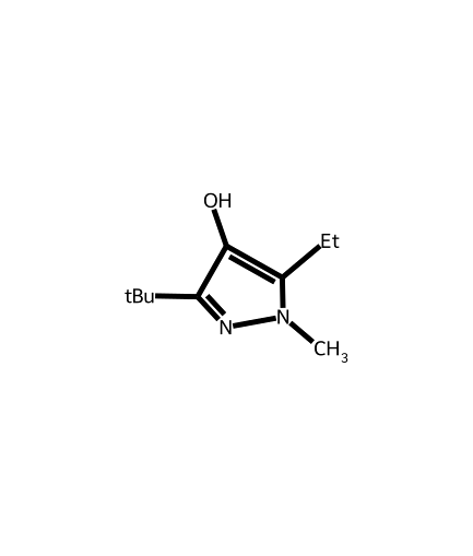 CCc1c(O)c(C(C)(C)C)nn1C